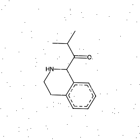 CC(C)C(=O)C1NCCc2ccccc21